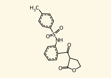 Cc1ccc(S(=O)(=O)Nc2ccccc2C(=O)C2CCOC2=O)cc1